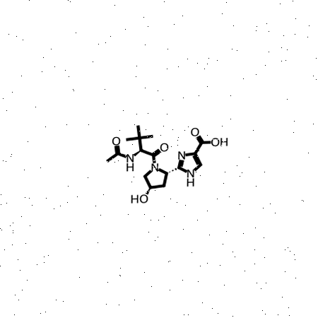 CC(=O)N[C@H](C(=O)N1C[C@H](O)C[C@H]1c1nc(C(=O)O)c[nH]1)C(C)(C)C